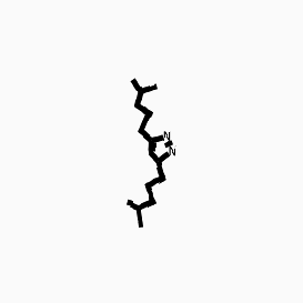 CC(C)CCCC1=CC(CCCC(C)C)N=N1